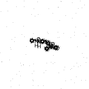 O=C(NCc1ccccc1)Nc1ccc(CN2CCC(N3C(=O)N(C4CCOCC4)C[C@H]3c3ccccc3)CC2)cc1